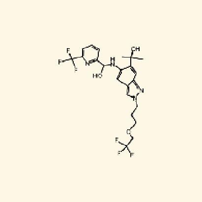 CC(C)(O)c1cc2nn(CCCOCC(F)(F)F)cc2cc1NC(O)c1cccc(C(F)(F)F)n1